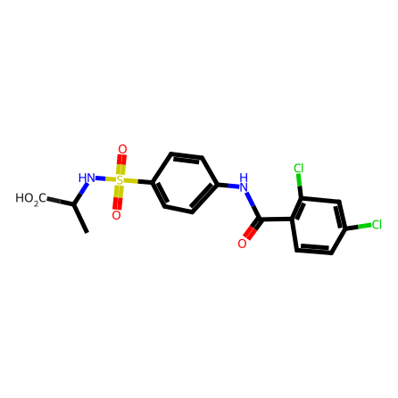 CC(NS(=O)(=O)c1ccc(NC(=O)c2ccc(Cl)cc2Cl)cc1)C(=O)O